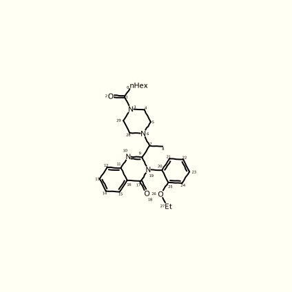 CCCCCCC(=O)N1CCN(C(C)c2nc3ccccc3c(=O)n2-c2ccccc2OCC)CC1